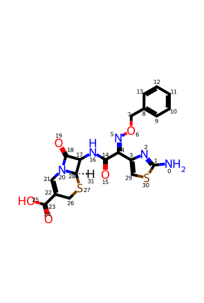 Nc1nc(C(=NOCc2ccccc2)C(=O)NC2C(=O)N3C=C(C(=O)O)CS[C@H]23)cs1